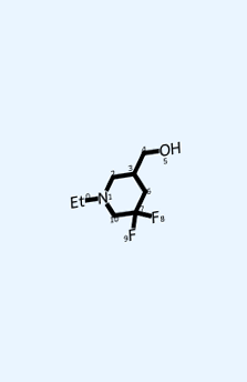 CCN1CC(CO)CC(F)(F)C1